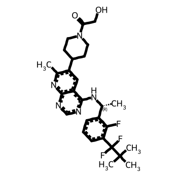 Cc1nc2ncnc(N[C@H](C)c3cccc(C(F)(F)C(C)(C)C)c3F)c2cc1C1CCN(C(=O)CO)CC1